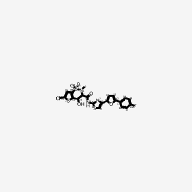 CN1C(C(=O)Nc2nc(-c3ccc(-c4ccc(F)cc4)o3)cs2)=C(O)c2sc(Cl)cc2S1(=O)=O